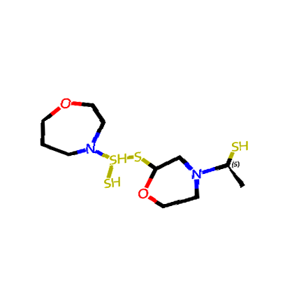 C[C@H](S)N1CCOC(S[SH](S)N2CCCOCC2)C1